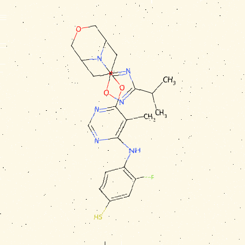 Cc1c(Nc2ccc(S)cc2F)ncnc1OC1CC2COCC(C1)N2c1nc(C(C)C)no1